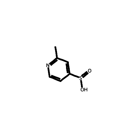 Cc1cc(S(=O)O)ccn1